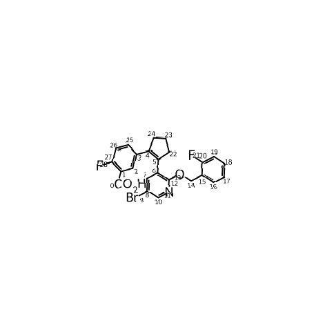 O=C(O)c1cc(C2=C(c3cc(Br)cnc3OCc3ccccc3F)CCC2)ccc1F